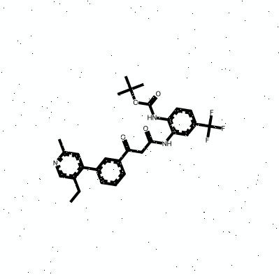 CCc1cnc(C)cc1-c1cccc(C(=O)CC(=O)Nc2cc(C(F)(F)F)ccc2NC(=O)OC(C)(C)C)c1